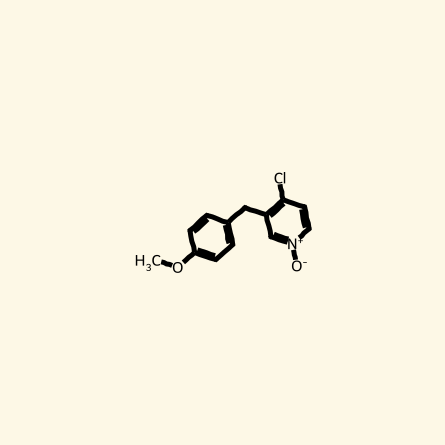 COc1ccc(Cc2c[n+]([O-])ccc2Cl)cc1